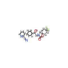 N#Cc1ncccc1-c1ccc(C(=O)CN2CC3(CCC(F)(F)CC3)OC2=O)cc1